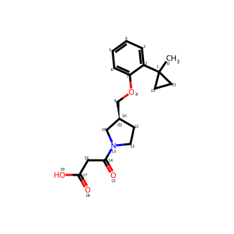 CC1(c2ccccc2OC[C@H]2CCN(C(=O)CC(=O)O)C2)CC1